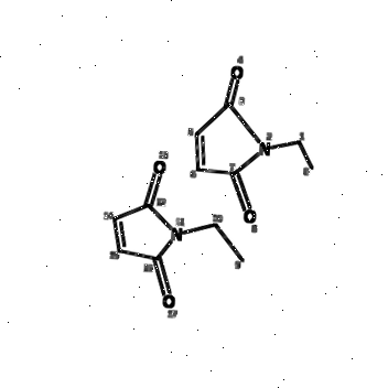 CCN1C(=O)C=CC1=O.CCN1C(=O)C=CC1=O